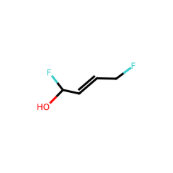 OC(F)C=CCF